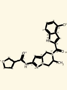 CC1Cn2nc(NC(=O)C3CCOC3)cc2CN1C(=O)c1cc2c(Cl)cccc2[nH]1